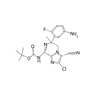 CC(C)(C)OC(=O)NC1=NC(C)(c2cc(N)ccc2F)Cn2c1nc(Cl)c2C#N